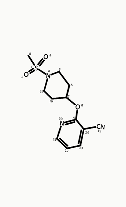 CS(=O)(=O)N1CCC(Oc2ncccc2C#N)CC1